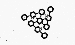 Cc1c(-c2ccccc2-c2ccc(-c3ccccc3)nc2)c(C)c(-c2ccccc2-c2ccc(-c3ccccc3)nc2)c(C)c1-c1ccccc1-c1ccc(-c2ccccc2)nc1